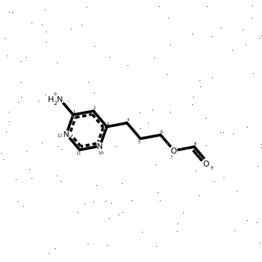 Nc1cc(CCCOC=O)ncn1